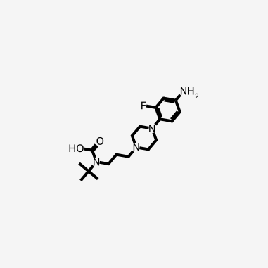 CC(C)(C)N(CCCN1CCN(c2ccc(N)cc2F)CC1)C(=O)O